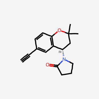 C#Cc1ccc2c(c1)[C@@H](N1CCCC1=O)CC(C)(C)O2